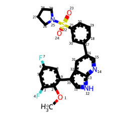 COc1c(F)cc(F)cc1-c1c[nH]c2ncc(-c3cccc(S(=O)(=O)N4CCCC4)c3)cc12